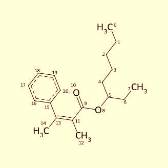 CCCCCC(CC)OC(=O)C(C)=C(C)c1ccccc1